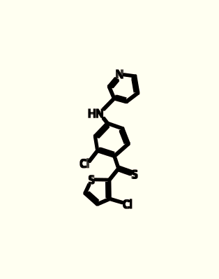 S=C(c1ccc(Nc2cccnc2)cc1Cl)c1sccc1Cl